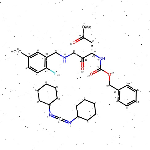 C(=NC1CCCCC1)=NC1CCCCC1.COC(=O)C[C@H](NC(=O)OCc1ccccc1)C(=O)CNCc1cc(C(=O)O)ccc1F